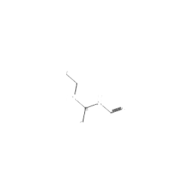 CCNC(C)N[C]=O